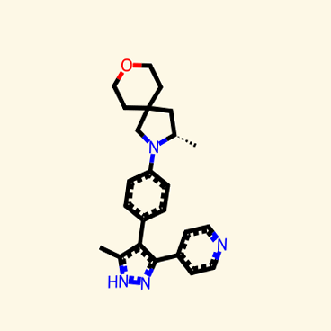 Cc1[nH]nc(-c2ccncc2)c1-c1ccc(N2CC3(CCOCC3)C[C@@H]2C)cc1